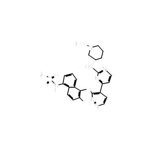 CCCS(=O)(=O)Nc1cccc2c(Oc3nnccc3-c3ccnc(N[C@H]4CCCN(C(=O)O)C4)n3)c(C)ccc12